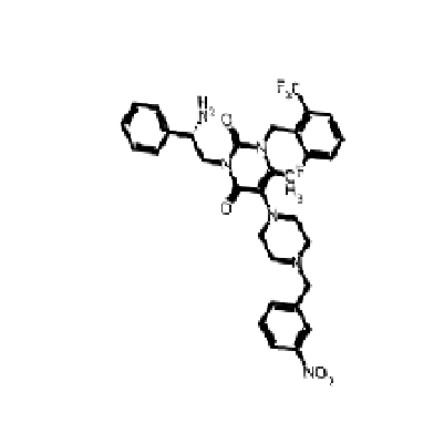 Cc1c(N2CCN(Cc3cccc([N+](=O)[O-])c3)CC2)c(=O)n(C[C@@H](N)c2ccccc2)c(=O)n1Cc1c(F)cccc1C(F)(F)F